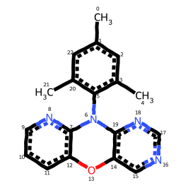 Cc1cc(C)c(N2c3ncccc3Oc3cncnc32)c(C)c1